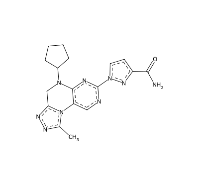 Cc1nnc2n1-c1cnc(-n3ccc(C(N)=O)n3)nc1N(C1CCCC1)C2